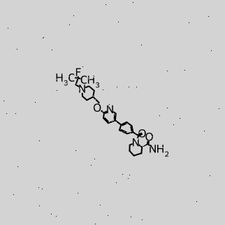 CC(C)(F)CN1CCC(COc2ccc(-c3ccc(C(=O)N4CCCC[C@@H]4C(N)=O)cc3)cn2)CC1